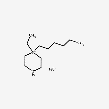 CCCCCC[N+]1(CC)CCNCC1.[OH-]